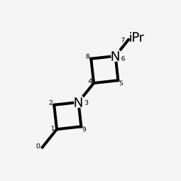 CC1CN(C2CN(C(C)C)C2)C1